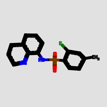 Cc1ccc(S(=O)(=O)Nc2cccc3cccnc23)c(F)c1